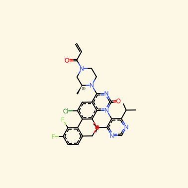 C=CC(=O)N1CCN(c2nc(=O)n(-c3c(C(C)C)ncnc3C(C)C)c3c4c(c(Cl)cc23)-c2c(ccc(F)c2F)CO4)[C@@H](C)C1